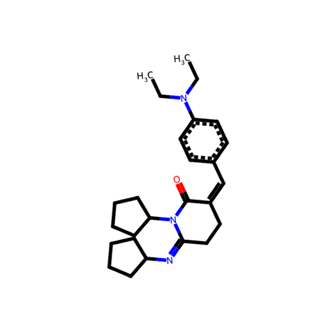 CCN(CC)c1ccc(/C=C2/CC/C(=N/C3CCCC3)N(C3CCCC3)C2=O)cc1